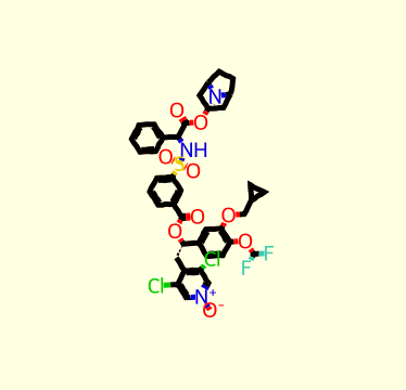 CN1C2CCC1CC(OC(=O)C(NS(=O)(=O)c1cccc(C(=O)O[C@@H](Cc3c(Cl)c[n+]([O-])cc3Cl)c3ccc(OC(F)F)c(OCC4CC4)c3)c1)c1ccccc1)C2